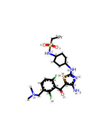 CC(C)CS(=O)(=O)NC1CCC(Nc2nc(N)c(C(=O)c3c(F)ccc(CN(C)C)c3F)s2)CC1